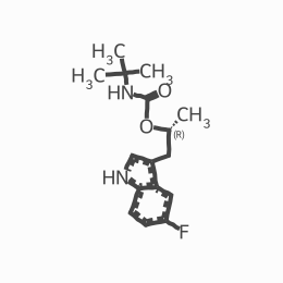 C[C@H](Cc1c[nH]c2ccc(F)cc12)OC(=O)NC(C)(C)C